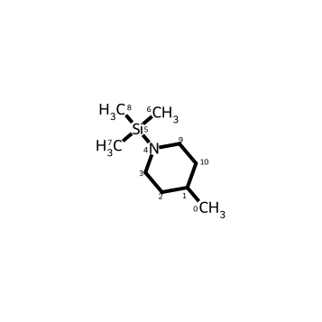 CC1CCN([Si](C)(C)C)CC1